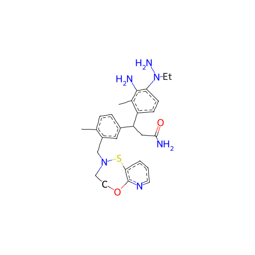 CCN(N)c1ccc(C(CC(N)=O)c2ccc(C)c(CN3CCOc4ncccc4S3)c2)c(C)c1N